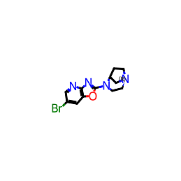 Brc1cnc2nc(N3CC[N@]4CCC3C4)oc2c1